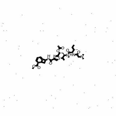 CC[C@H](C)[C@H](NC(=O)CN(C)C)C(=O)N(C)[C@H](C[C@@H](OC(C)=O)c1nc(C(=O)NC2CC3C2=CC=CC3C(=O)OC)cs1)C(C)C